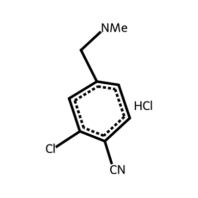 CNCc1ccc(C#N)c(Cl)c1.Cl